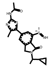 CC(=O)Nc1nc(C)c(-c2cc3c(c([S@](C)=N)c2)C(=O)N(C(C)C2CC2)C3)s1